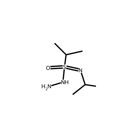 CC(C)N=S(=O)(NN)C(C)C